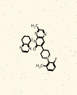 Cc1cnc2cc(C3CCN(c4c(C)cccc4F)CC3)c(=O)n([C@H]3CCCc4nccnc43)c2n1